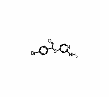 Nc1cc(SC(C=O)c2ccc(Br)cc2)ccn1